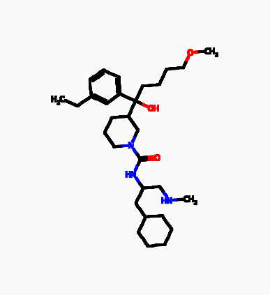 CCc1cccc(C(O)(CCCCOC)C2CCCN(C(=O)NC(CNC)CC3CCCCC3)C2)c1